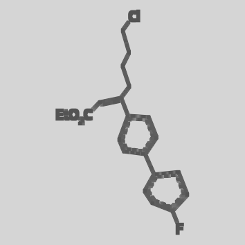 CCOC(=O)/C=C(/CCCCCl)c1ccc(-c2ccc(F)cc2)cc1